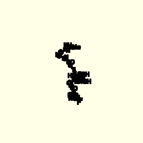 COc1ncc(-c2ccc3nccc(-c4ccc(COC(=O)OCCSSCC(NC(=O)CCc5cccc6c5CN(C(=O)C[C@@H]5C[C@@H](CN7CC(F)(F)C[C@H]7C#N)NC5=O)C6)C(=O)N[C@@H]5[C@@H](O)[C@H](C)C(O)O[C@H]5CO)nc4)c3c2)cc1N